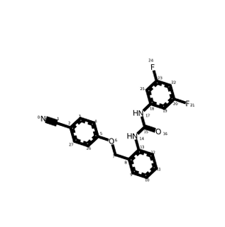 N#Cc1ccc(OCc2ccccc2NC(=O)Nc2cc(F)cc(F)c2)cc1